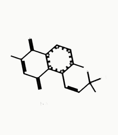 CC1(C)C=Cc2c(ccc3c2C(=O)C=C([O-])C3=O)O1.[Na+]